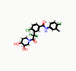 Cc1cc(NC(=O)c2ccc(Cl)c(C(F)(F)C(=O)N3CCC(O)C(O)C3)c2)ccc1F